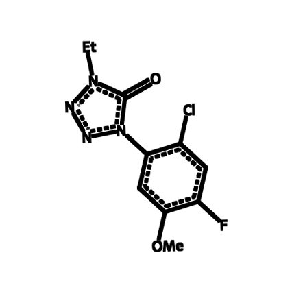 CCn1nnn(-c2cc(OC)c(F)cc2Cl)c1=O